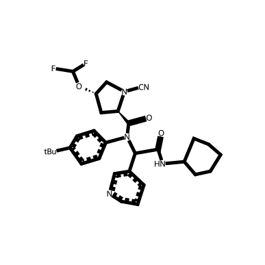 CC(C)(C)c1ccc(N(C(=O)[C@H]2C[C@H](OC(F)F)CN2C#N)C(C(=O)NC2CCCCC2)c2cccnc2)cc1